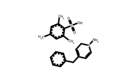 Cc1cc(C)c(S(=O)(=O)O)c(C)c1.NN1C=CC(Cc2ccccc2)=CC1